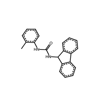 Cc1ccccc1NC(=O)NC1c2ccccc2-c2ccccc21